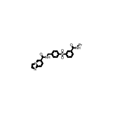 CC(C)NC(=O)c1cccc(S(=O)(=O)c2ccc(CNC(=O)c3ccc4nccn4c3)cc2)c1